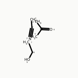 CC#N.CC(C)=O.CCO